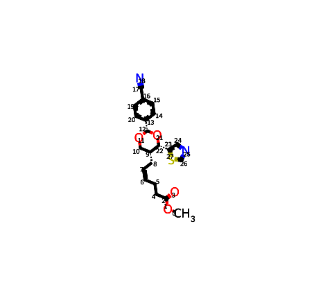 COC(=O)CC/C=C\C[C@@H]1CO[C@H](c2ccc(C#N)cc2)O[C@@H]1c1cncs1